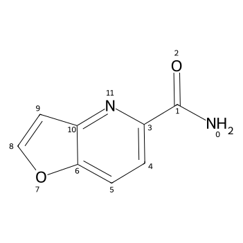 NC(=O)c1ccc2occc2n1